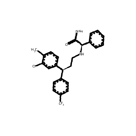 CNC(=O)[C@H](NCC[C@@H](c1ccc(C(F)(F)F)cc1)c1ccc(C)c(Cl)c1)c1ccccc1